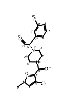 Cn1cc(Cl)c(C(=O)N2CCN([C@H](C=O)c3cccc(F)c3)CC2)n1